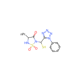 CCCC1NS(=O)(=O)N(C(S)c2nnnn2-c2ccccc2)C1=O